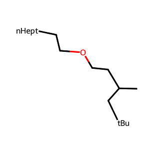 CCCCCCCCCOCCC(C)CC(C)(C)C